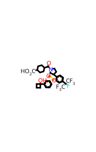 O=C(O)C1CCC(C(=O)N2CCC(c3ccc(C(F)(C(F)(F)F)C(F)(F)F)cc3)(S(=O)(=O)c3cccc(C4(O)CCC4)c3)C2)CC1